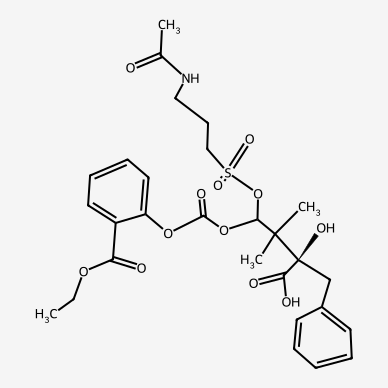 CCOC(=O)c1ccccc1OC(=O)OC(OS(=O)(=O)CCCNC(C)=O)C(C)(C)[C@](O)(Cc1ccccc1)C(=O)O